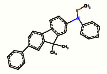 CSN(c1ccccc1)c1ccc2c(c1)C(C)(C)c1cc(-c3ccccc3)ccc1-2